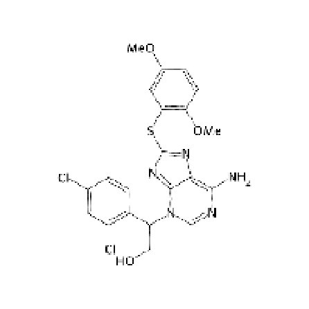 COc1ccc(OC)c(Sc2nc3c(N)ncn(C(CO)c4ccc(Cl)cc4Cl)c-3n2)c1